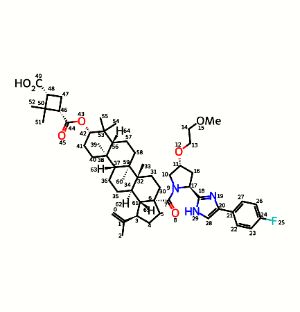 C=C(C)[C@@H]1CC[C@]2(C(=O)N3C[C@H](OCCOC)C[C@H]3c3nc(-c4ccc(F)cc4)c[nH]3)CC[C@]3(C)[C@H](CC[C@@H]4[C@@]5(C)CC[C@H](OC(=O)[C@H]6C[C@@H](C(=O)O)C6(C)C)C(C)(C)[C@@H]5CC[C@]43C)[C@@H]12